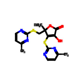 CCOC(=O)C1(CSc2nccc(C(F)(F)F)n2)OC(=O)C(O)=C1Sc1nccc(C(F)(F)F)n1